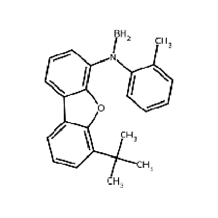 BN(c1ccccc1C)c1cccc2c1oc1c(C(C)(C)C)cccc12